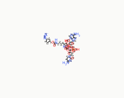 [N-]=[N+]=Nc1ccc(COC(=O)NCCCCC(N)C(=O)O[C@H]2[C@@H](O)[C@H](n3cnc4c(N)ncnc43)O[C@@H]2COP(=O)(O)O[C@H]2C[C@H](n3ccc(N)nc3=O)O[C@H]2COP(=O)(O)O)cc1